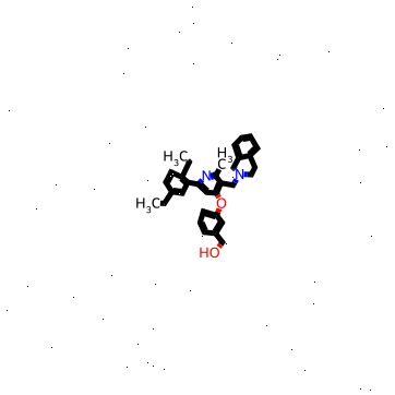 CCc1ccc(CC)c(-c2cc(Oc3cccc(CO)c3)c(CN3CCc4ccccc4C3)c(C)n2)c1